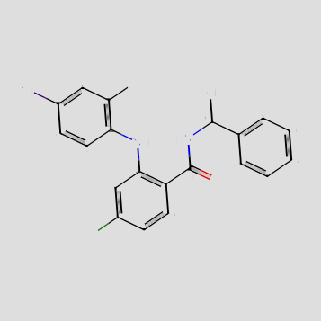 Cc1cc(I)ccc1Nc1cc(F)ccc1C(=O)NC(C)c1ccccc1